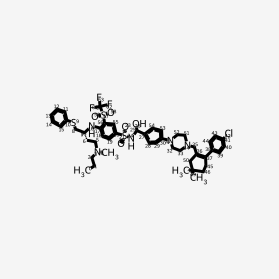 CCCN(C)CC[C@H](CSc1ccccc1)Nc1ccc(S(=O)(=O)NC(O)c2ccc(N3CCN(CC4=C(c5ccc(Cl)cc5)CCC(C)(C)C4)CC3)cc2)cc1S(=O)(=O)C(F)(F)F